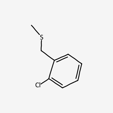 CSCc1ccccc1Cl